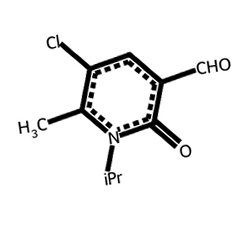 Cc1c(Cl)cc(C=O)c(=O)n1C(C)C